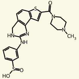 CN1CCN(C(=O)c2cc3c4c(ccc3s2)CNC(Nc2cccc(S(=O)O)c2)=N4)CC1